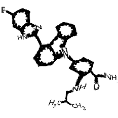 CC(C)CNc1cc(-n2c3ccccc3c3c(-c4nc5ccc(F)cc5[nH]4)cccc32)ccc1C(N)=O